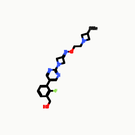 COC1CN(CCON=C2CN(c3ncc(-c4cccc(CO)c4F)cn3)C2)C1